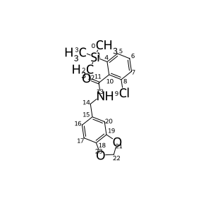 C[Si](C)(C)c1cccc(Cl)c1C(=O)NCc1ccc2c(c1)OCO2